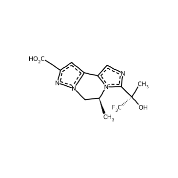 C[C@H]1Cn2nc(C(=O)O)cc2-c2cnc([C@@](C)(O)C(F)(F)F)n21